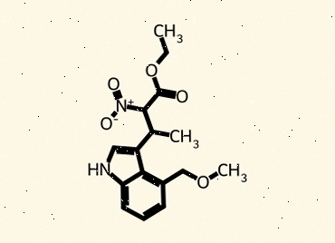 CCOC(=O)C(C(C)c1c[nH]c2cccc(COC)c12)[N+](=O)[O-]